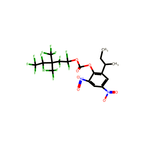 CCC(C)c1cc([N+](=O)[O-])cc([N+](=O)[O-])c1OC(=O)OC(F)(F)C(F)(F)C(C(F)(F)F)(C(F)(F)F)C(F)(F)C(F)(F)F